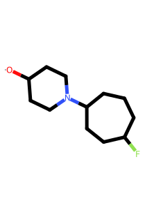 [O]C1CCN(C2CCCC(F)CC2)CC1